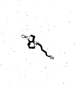 [O-][S+]1CC=C2C1=CC=CN2CCCCBr